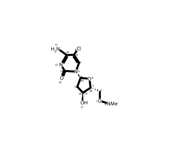 CNOC[C@H]1O[C@@H](n2cc(Cl)c(N)nc2=O)C[C@@H]1O